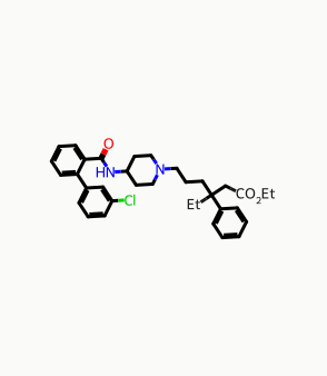 CCOC(=O)CC(CC)(CCCN1CCC(NC(=O)c2ccccc2-c2cccc(Cl)c2)CC1)c1ccccc1